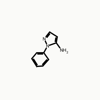 Nc1ccnn1-c1cc[c]cc1